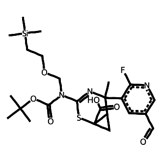 CC(C)(C)OC(=O)N(COCC[Si](C)(C)C)C1=NC(C)(c2cc(C=O)cnc2F)C2CC2(C(=O)O)S1